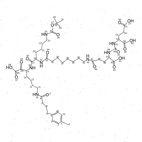 Cc1ccc(CCCC(=O)NCCCCC(NC(=O)C(CCCCNC(=O)OC(C)(C)C)NC(=O)CCCCCCCNC(=O)CCC(NC(=O)NC(CCC(=O)O)C(=O)O)C(=O)O)C(=O)C(=O)O)cc1